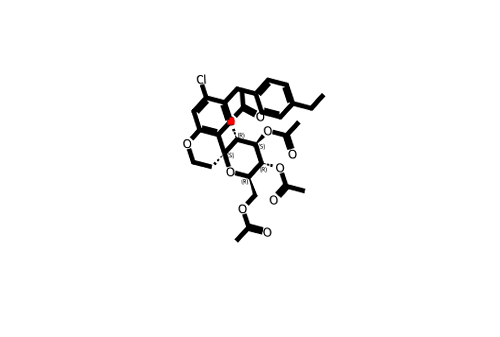 CCc1ccc(Cc2cc3c(cc2Cl)OCC[C@]32O[C@H](COC(C)=O)[C@@H](OC(C)=O)[C@H](OC(C)=O)[C@H]2OC(C)=O)cc1